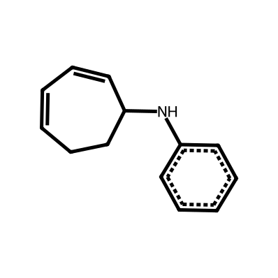 C1=CCCC(Nc2ccccc2)C=C1